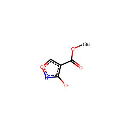 CC(C)(C)OC(=O)c1conc1[O]